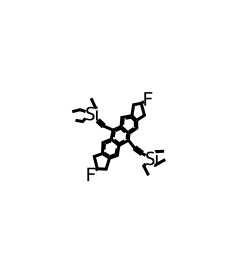 CC[Si](C#Cc1c2cc3c(cc2c(C#C[Si](CC)(CC)CC)c2cc4c(cc12)CC(F)C4)CC(F)C3)(CC)CC